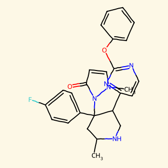 CC1CC(c2ccc(F)cc2)(n2c(=O)ccn2C)C(c2ccnc(Oc3ccccc3)n2)CN1